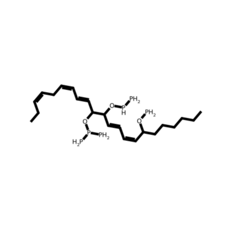 CC/C=C\C/C=C\C=C\C(OP(P)P)C(/C=C/C=C\C(CCCCCC)OP)OPP